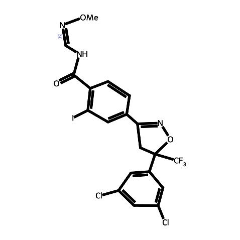 CO/N=C\NC(=O)c1ccc(C2=NOC(c3cc(Cl)cc(Cl)c3)(C(F)(F)F)C2)cc1I